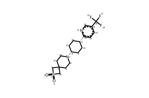 O=S1(=O)CC2(CCN([C@H]3CC[C@@H](c4ccc(C(F)(F)F)cn4)CC3)CC2)C1